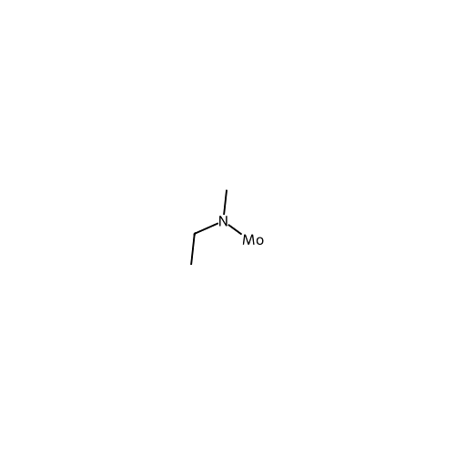 CC[N](C)[Mo]